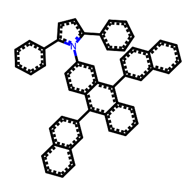 c1ccc(-c2ccc(-c3ccccc3)n2-c2ccc3c(-c4ccc5ccccc5c4)c4ccccc4c(-c4ccc5ccccc5c4)c3c2)cc1